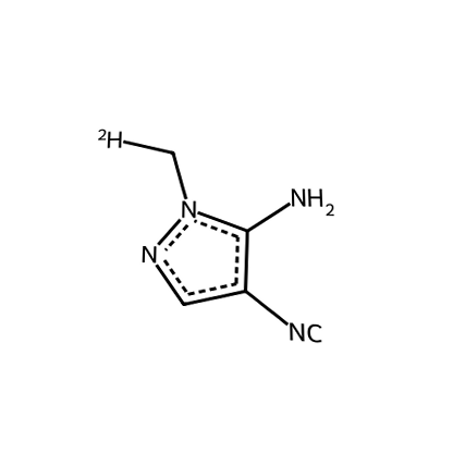 [2H]Cn1ncc([N+]#[C-])c1N